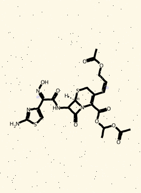 CC(=O)OC/C=C\C1=C(C(=O)OC(C)OC(C)=O)N2C(=O)C(NC(=O)/C(=N\O)c3csc(N)n3)[C@H]2SC1